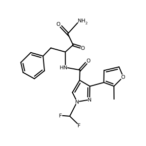 Cc1occc1-c1nn(C(F)F)cc1C(=O)NC(Cc1ccccc1)C(=O)C(N)=O